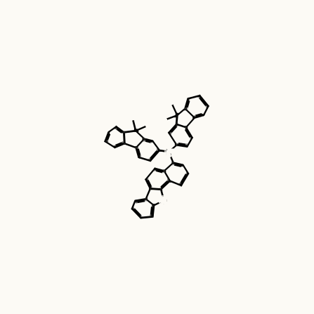 CC1(C)c2ccccc2-c2ccc(N(c3ccc4c(c3)C(C)(C)c3ccccc3-4)c3cccc4c3ccc3c5ccccc5oc43)cc21